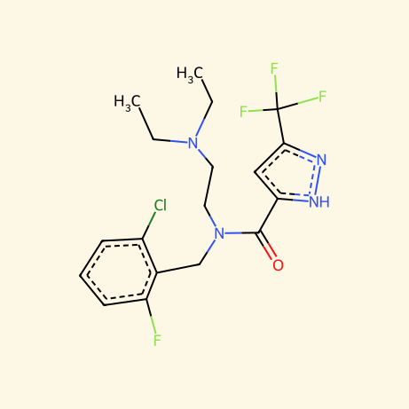 CCN(CC)CCN(Cc1c(F)cccc1Cl)C(=O)c1cc(C(F)(F)F)n[nH]1